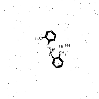 Cc1ccccc1[O][Hf][O]c1ccccc1C.F.F